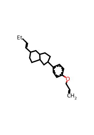 C=CCOc1ccc(C2CCC3CC(C=CCC)CCC3C2)cc1